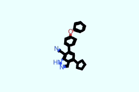 N#Cc1c(-c2ccc(Oc3ccccc3)cc2)cc(C2CCCC2)c2cn[nH]c12